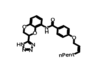 CCCCC/C=C\COc1ccc(C(=O)Nc2cccc3c2OC(c2nnn[nH]2)CO3)cc1